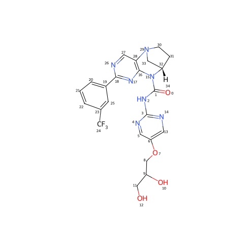 O=C(Nc1ncc(OCC(O)CO)cn1)N1c2nc(-c3cccc(C(F)(F)F)c3)ncc2N2CC[C@H]1C2